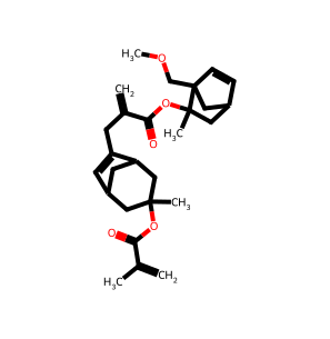 C=C(C)C(=O)OC1(C)CC2C=C(CC(=C)C(=O)OC3(C)CC4C=CC3(COC)C4)C(C2)C1